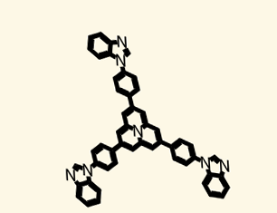 C1=C(c2ccc(-n3cnc4ccccc43)cc2)C=C2C=C(c3ccc(-n4cnc5ccccc54)cc3)C=C3C=C(c4ccc(-n5cnc6ccccc65)cc4)C=C1N23